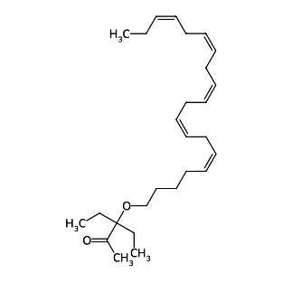 CC/C=C\C/C=C\C/C=C\C/C=C\C/C=C\CCCCOC(CC)(CC)C(C)=O